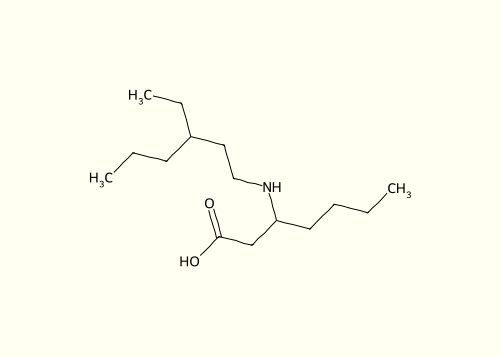 CCCCC(CC(=O)O)NCCC(CC)CCC